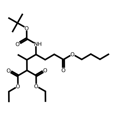 CCCCOC(=O)CCC(NC(=O)OC(C)(C)C)C(C)C(C(=O)OCC)C(=O)OCC